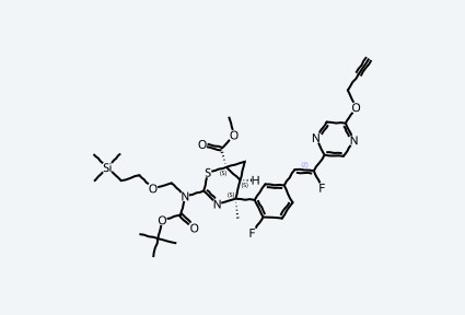 C#CCOc1cnc(/C(F)=C/c2ccc(F)c([C@@]3(C)N=C(N(COCC[Si](C)(C)C)C(=O)OC(C)(C)C)S[C@@]4(C(=O)OC)C[C@H]43)c2)cn1